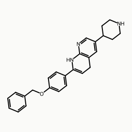 C1=C(c2ccc(OCc3ccccc3)cc2)Nc2ncc(C3CCNCC3)cc2C1